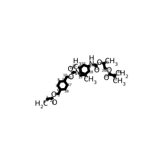 C=CC(=O)OCC1CCC(COC(=O)N2CC3(C)CC(NC(=O)OC(C)COC(=O)C(=C)C)C[C@]2(C)C3)CC1